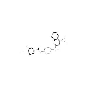 Cc1cc(C(=O)NC2CCC(Nc3cc(N(C)C)c4ccccc4n3)CC2)ccc1Br